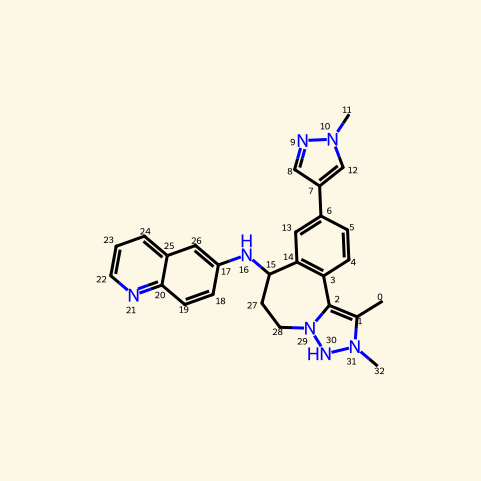 CC1=C2c3ccc(-c4cnn(C)c4)cc3C(Nc3ccc4ncccc4c3)CCN2NN1C